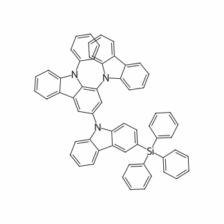 c1ccc(-n2c3ccccc3c3cc(-n4c5ccccc5c5cc([Si](c6ccccc6)(c6ccccc6)c6ccccc6)ccc54)cc(-n4c5ccccc5c5ccccc54)c32)cc1